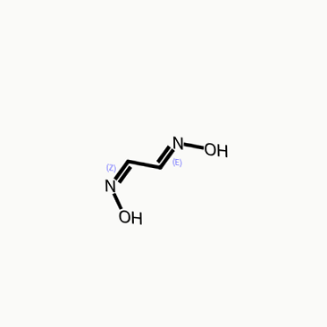 O/N=C\C=N\O